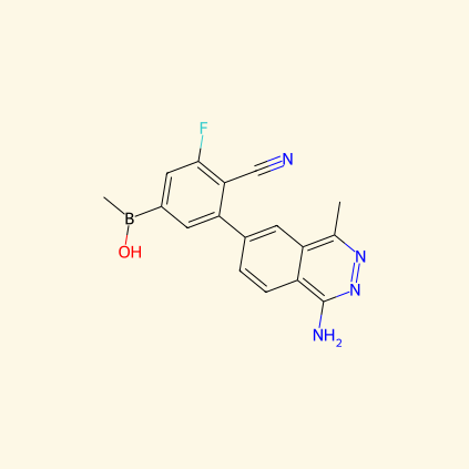 CB(O)c1cc(F)c(C#N)c(-c2ccc3c(N)nnc(C)c3c2)c1